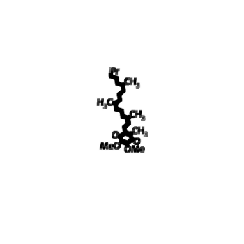 COC1=C(OC)C(=O)C(CC=C(C)CCCC(C)CCCC(C)CCCC(C)C)=C(C)C1=O